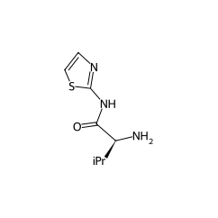 CC(C)[C@H](N)C(=O)Nc1nccs1